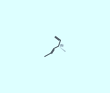 C=C[C@H](C)C=CC